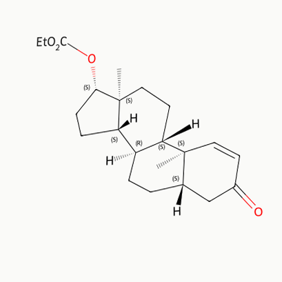 CCOC(=O)O[C@H]1CC[C@H]2[C@@H]3CC[C@H]4CC(=O)C=C[C@]4(C)[C@H]3CC[C@]12C